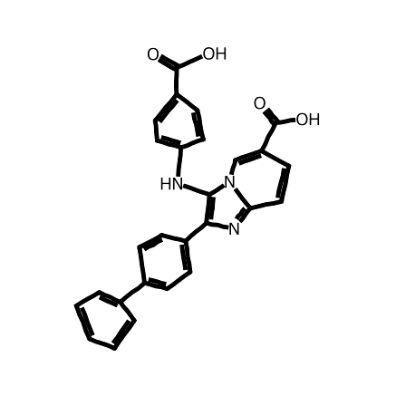 O=C(O)c1ccc(Nc2c(-c3ccc(-c4ccccc4)cc3)nc3ccc(C(=O)O)cn23)cc1